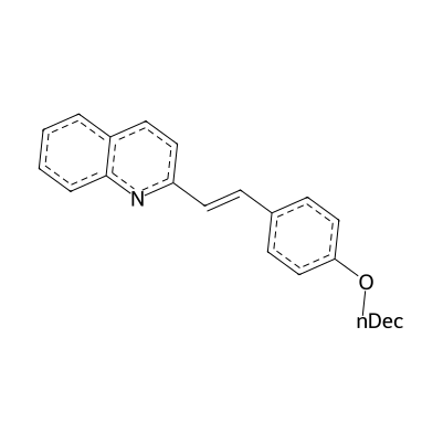 CCCCCCCCCCOc1ccc(/C=C/c2ccc3ccccc3n2)cc1